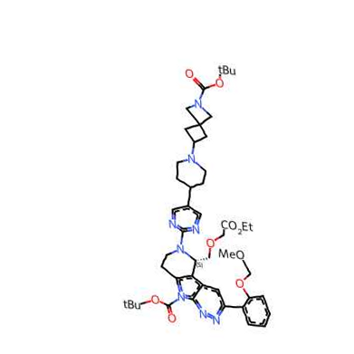 CCOC(=O)COC[C@@H]1c2c(n(C(=O)OC(C)(C)C)c3nnc(-c4ccccc4OCOC)cc23)CCN1c1ncc(C2CCN(C3CC4(C3)CN(C(=O)OC(C)(C)C)C4)CC2)cn1